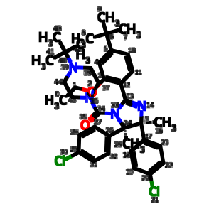 CCOc1cc(C(C)(C)C)ccc1C1=N[C@@](C)(c2ccc(Cl)cc2)[C@@](C)(c2ccc(Cl)cc2)N1C(=O)N1CCN(C(C)(C)C)CC1